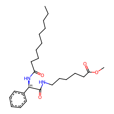 CCCCCCCCCC(=O)N[C@@H](C(=O)NCCCCCC(=O)OC)c1ccccc1